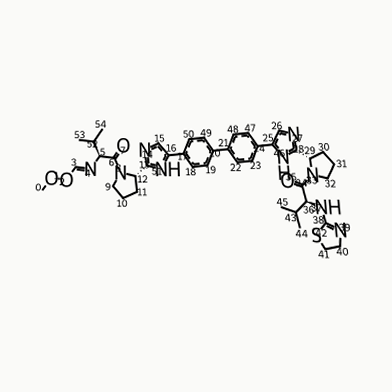 COO/C=N/[C@H](C(=O)N1CCC[C@H]1c1ncc(-c2ccc(-c3ccc(-c4cnc([C@@H]5CCCN5C(=O)[C@@H](NC5=NCCS5)C(C)C)[nH]4)cc3)cc2)[nH]1)C(C)C